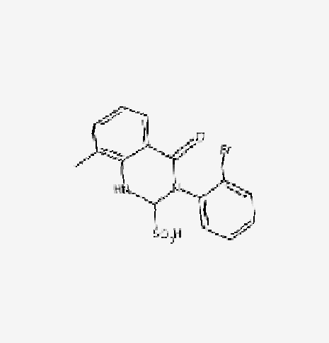 Cc1cccc2c1NC(S(=O)(=O)O)N(c1ccccc1Br)C2=O